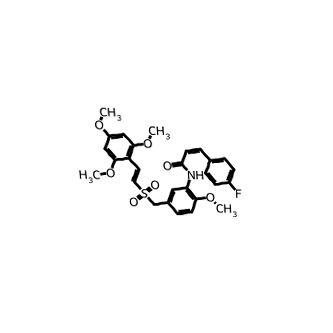 COc1cc(OC)c(/C=C/S(=O)(=O)Cc2ccc(OC)c(NC(=O)/C=C\c3ccc(F)cc3)c2)c(OC)c1